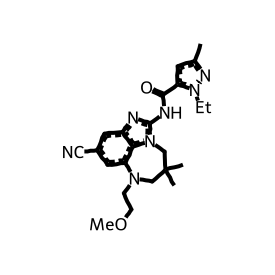 CCn1nc(C)cc1C(=O)Nc1nc2cc(C#N)cc3c2n1CC(C)(C)CN3CCOC